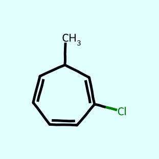 CC1C=CC=CC(Cl)=C1